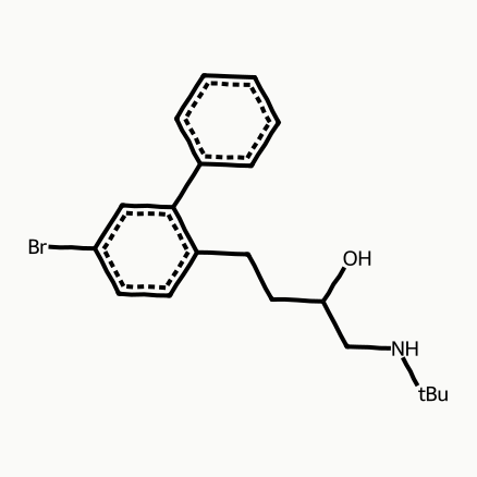 CC(C)(C)NCC(O)CCc1ccc(Br)cc1-c1ccccc1